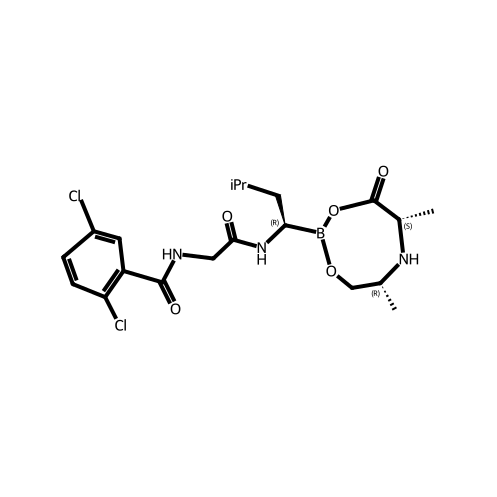 CC(C)C[C@H](NC(=O)CNC(=O)c1cc(Cl)ccc1Cl)B1OC[C@@H](C)N[C@@H](C)C(=O)O1